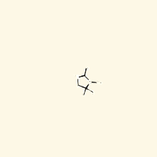 CC1SCC(C)(C)N1[O]